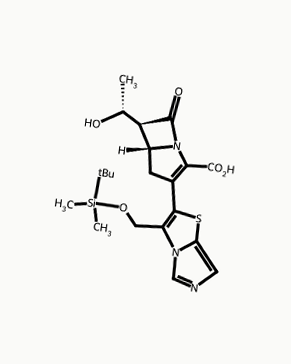 C[C@@H](O)[C@H]1C(=O)N2C(C(=O)O)=C(c3sc4cncn4c3CO[Si](C)(C)C(C)(C)C)C[C@H]12